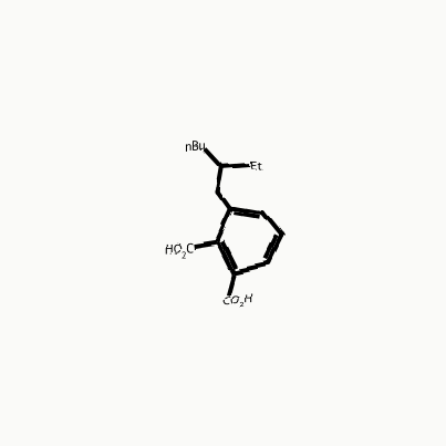 CCCCC(CC)Cc1cccc(C(=O)O)c1C(=O)O